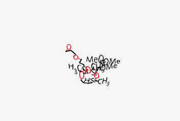 CO[Si](CC[Si]1(C)O[SiH](C)CCCCO[Si](C)(CCCOCC2CO2)O1)(OC)OC